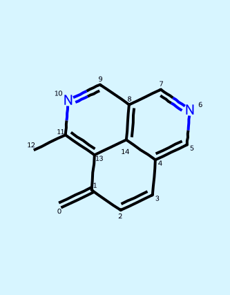 C=c1ccc2cncc3cnc(C)c1c23